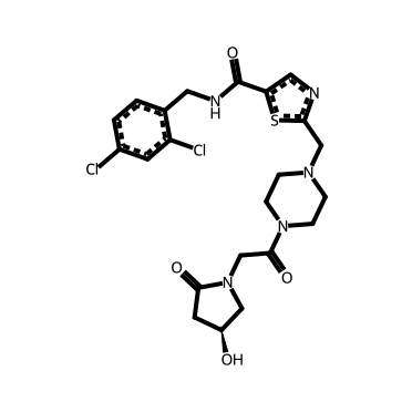 O=C(NCc1ccc(Cl)cc1Cl)c1cnc(CN2CCN(C(=O)CN3C[C@@H](O)CC3=O)CC2)s1